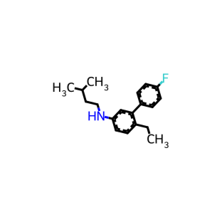 CCc1ccc(NCCC(C)C)cc1-c1ccc(F)cc1